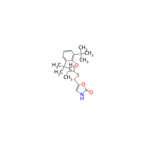 CCC(Oc1c(C(C)(C)C)cccc1C(C)(C)C)SCc1c[nH]c(=O)o1